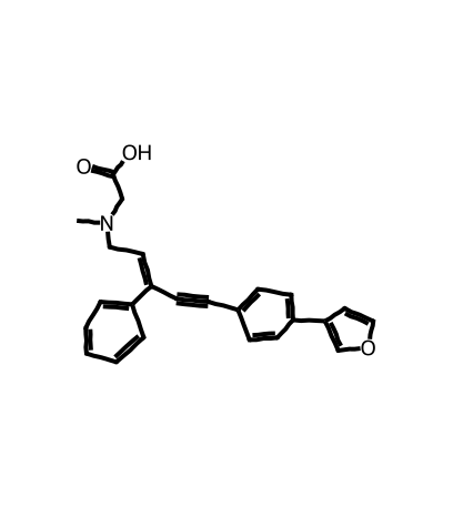 CN(CC=C(C#Cc1ccc(-c2ccoc2)cc1)c1ccccc1)CC(=O)O